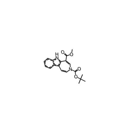 COC(=O)C1=CN(C(=O)OC(C)(C)C)C=Cc2c1[nH]c1ccccc21